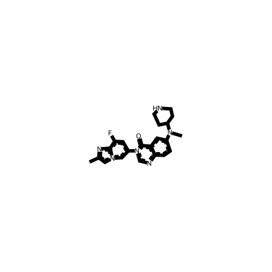 Cc1cn2cc(-n3cnc4ccc(N(C)C5CCNCC5)cc4c3=O)cc(F)c2n1